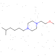 COCCN1CCN(CCCCC(C)C)CC1